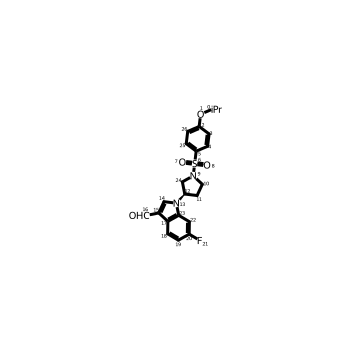 CC(C)Oc1ccc(S(=O)(=O)N2CC[C@@H](n3cc(C=O)c4ccc(F)cc43)C2)cc1